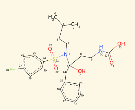 CC(C)CCN(C(O)(CCNC(=O)O)Cc1ccccc1)S(=O)(=O)c1ccc(F)cc1